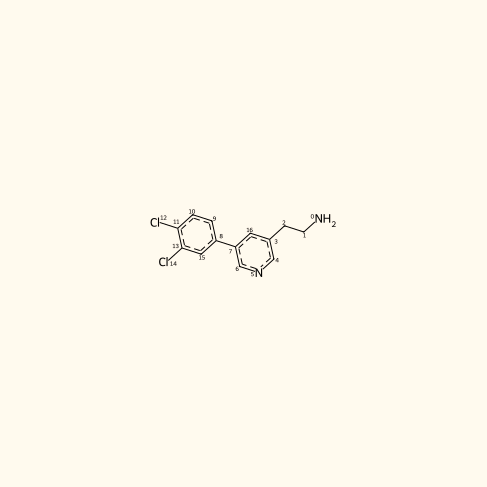 NCCc1cncc(-c2ccc(Cl)c(Cl)c2)c1